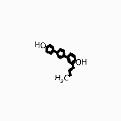 CCCCc1cc(C2C=CC(c3ccc(O)cc3)C=C2)ccc1O